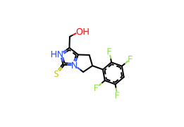 OCc1[nH]c(=S)n2c1CC(c1c(F)c(F)cc(F)c1F)C2